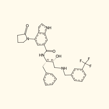 O=C(N[C@@H](Cc1ccccc1)[C@H](O)CNCc1cccc(C(F)(F)F)c1)c1cc(N2CCCC2=O)c2cc[nH]c2c1